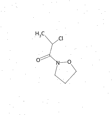 CC(Cl)C(=O)N1CCCO1